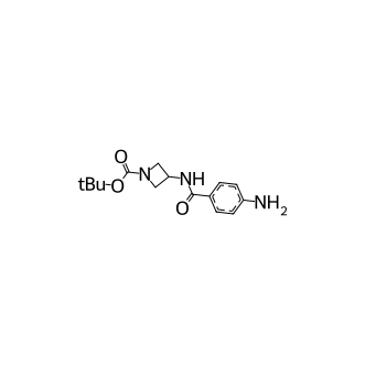 CC(C)(C)OC(=O)N1CC(NC(=O)c2ccc(N)cc2)C1